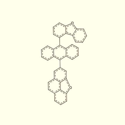 c1ccc2c(c1)oc1cccc(-c3c4ccccc4c(-c4cc5ccc6cccc7oc(c4)c5c67)c4ccccc34)c12